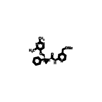 COCc1ccnc(NC(=O)[C@@H]2C[C@@]2(COc2cnc(C)nc2C)c2ccccc2)c1